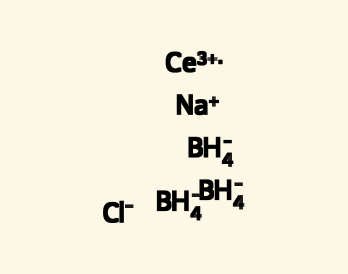 [BH4-].[BH4-].[BH4-].[Ce+3].[Cl-].[Na+]